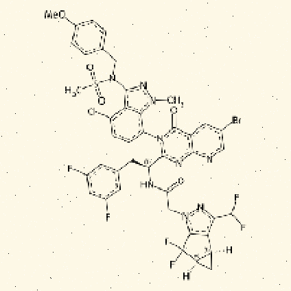 COc1ccc(CN(c2nn(C)c3c(-n4c([C@H](Cc5cc(F)cc(F)c5)NC(=O)Cn5nc(C(F)F)c6c5C(F)(F)[C@@H]5C[C@H]65)nc5ncc(Br)cc5c4=O)ccc(Cl)c23)S(C)(=O)=O)cc1